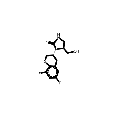 OCC1CNC(=S)N1[C@H]1COc2c(F)cc(F)cc2C1